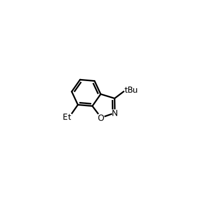 CCc1cccc2c(C(C)(C)C)noc12